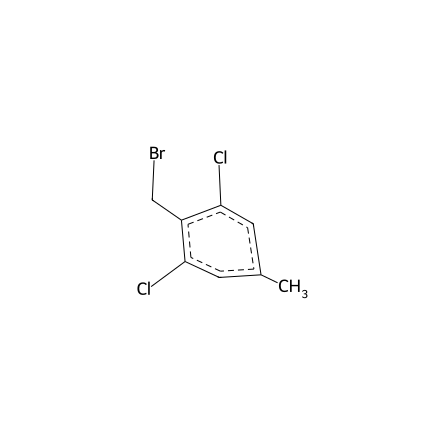 Cc1cc(Cl)c(CBr)c(Cl)c1